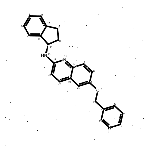 c1cncc(COc2ccc3nc(N[C@@H]4CCc5ccccc54)ccc3c2)c1